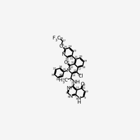 C[C@H](Nc1ncnc2[nH]ccc(=O)c12)c1c(Cl)c2cccc(-c3ccc(OCC(F)(F)F)nc3)c2c(=O)n1-c1ccccc1